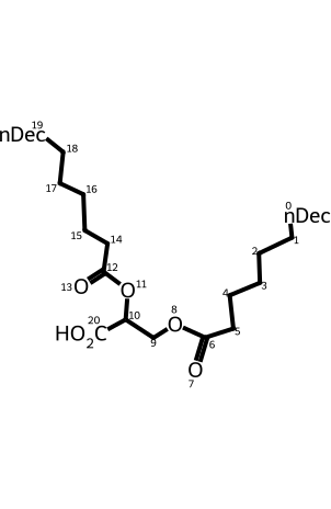 CCCCCCCCCCCCCCCC(=O)OCC(OC(=O)CCCCCCCCCCCCCCC)C(=O)O